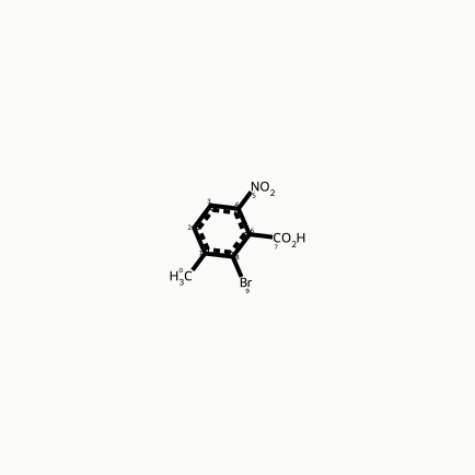 Cc1ccc([N+](=O)[O-])c(C(=O)O)c1Br